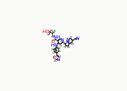 CC(C)(O)C(F)CNC(=O)c1cnc(-c2ccc3cc(C#N)cnn23)cc1NC12CCC(c3cnco3)(CC1)CC2